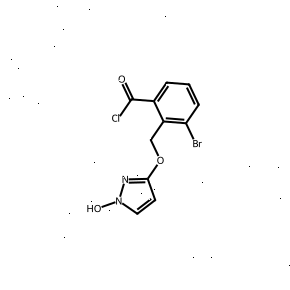 O=C(Cl)c1cccc(Br)c1COc1ccn(O)n1